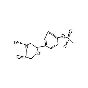 CC(C)(C)N1C[C@@H](c2ccc(OS(C)(=O)=O)cc2)OCC1=O